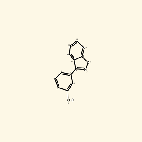 O=Cc1cccc(-c2noc3ccccc23)c1